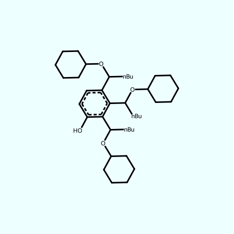 CCCCC(OC1CCCCC1)c1ccc(O)c(C(CCCC)OC2CCCCC2)c1C(CCCC)OC1CCCCC1